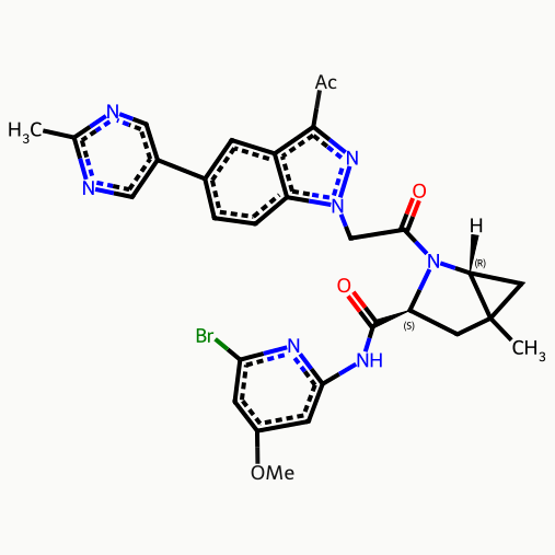 COc1cc(Br)nc(NC(=O)[C@@H]2CC3(C)C[C@H]3N2C(=O)Cn2nc(C(C)=O)c3cc(-c4cnc(C)nc4)ccc32)c1